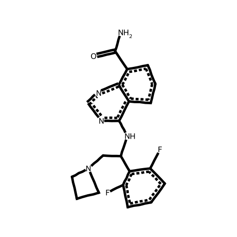 NC(=O)c1cccc2c(NC(CN3CCC3)c3c(F)cccc3F)ncnc12